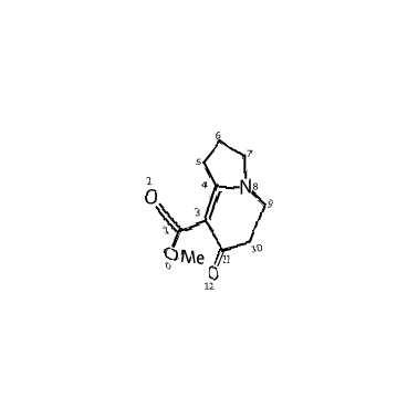 COC(=O)C1=C2CCCN2CCC1=O